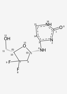 O=c1nc(N[C@@H]2CC(F)(F)[C@H](CO)O2)cc[nH]1